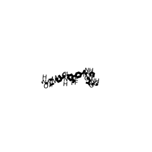 CNC(=O)N1C[C@@H](C)N(c2ccc(C(=O)Nc3cc(C(F)(F)F)c(-c4ccc(-c5c[nH]c([C@@H]6CCCN6C(=O)[C@@H](NC(=O)OC)C(C)C)n5)cc4)cc3Cl)cn2)C[C@@H]1C